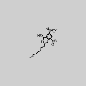 CCCCCCCCCCc1c(C(=O)O)cc([N+](=O)[O-])cc1[N+](=O)[O-]